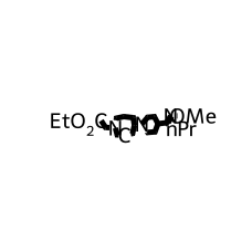 CCCC(=NOC)C1CCN(C2CCCN(CC(=O)OCC)CCC2)CC1